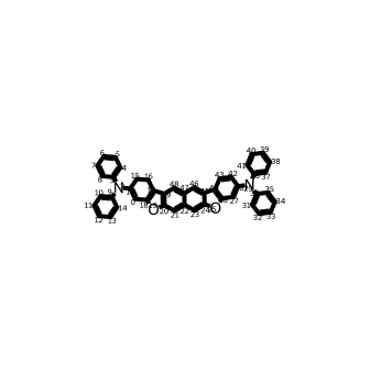 C1=C(N(c2ccccc2)c2ccccc2)CCc2c1oc1cc3cc4oc5cc(N(c6ccccc6)c6ccccc6)ccc5c4cc3cc21